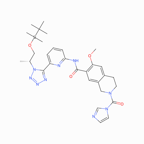 COc1cc2c(cc1C(=O)Nc1cccc(-c3nnnn3[C@H](C)CO[Si](C)(C)C(C)(C)C)n1)CN(C(=O)n1ccnc1)CC2